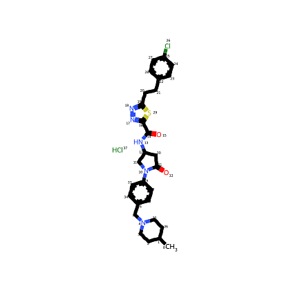 CC1CCN(Cc2ccc(N3CC(NC(=O)c4nnc(CCc5ccc(Cl)cc5)s4)CC3=O)cc2)CC1.Cl